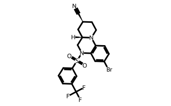 N#C[C@H]1CCN2c3ccc(Br)cc3N(S(=O)(=O)c3cccc(C(F)(F)F)c3)C[C@@H]2C1